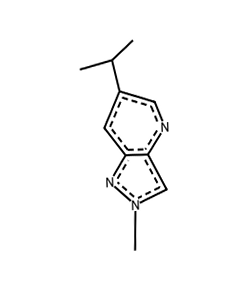 CC(C)c1cnc2cn(C)nc2c1